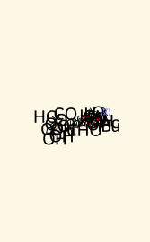 C/C=C(/C)C(=O)O[C@H]1[C@H](OC(=O)C(C)CC)[C@@]2(CO)C(CC1(C)C)C1=CCC3[C@@]4(C)CCC(OC5OC(C(=O)O)C(O)C(OC6OCC(O)C(O)C6O)C5O)[C@@](C)(C=O)C4CC[C@@]3(C)[C@@]13C[C@]2(OC(C)=O)[C@@H]3O